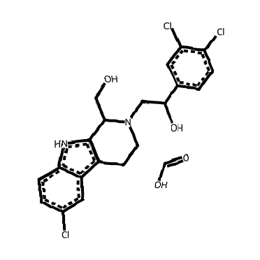 O=CO.OCC1c2[nH]c3ccc(Cl)cc3c2CCN1CC(O)c1ccc(Cl)c(Cl)c1